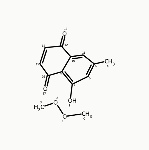 COOC.Cc1cc(O)c2c(c1)C(=O)C=CC2=O